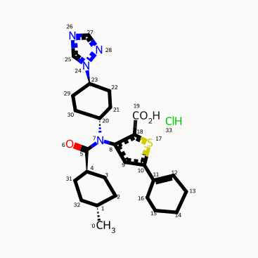 C[C@H]1CC[C@H](C(=O)N(c2cc(C3=CCCCC3)sc2C(=O)O)[C@H]2CC[C@H](n3cncn3)CC2)CC1.Cl